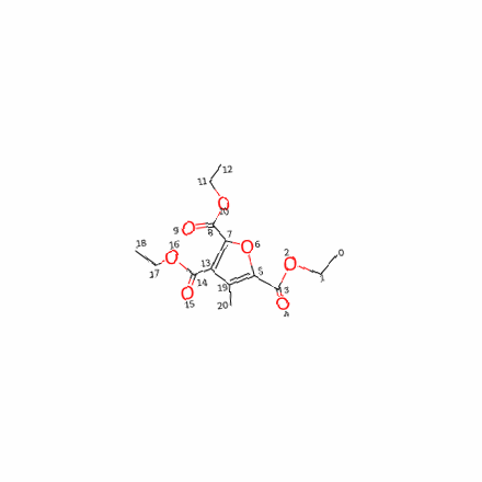 CCOC(=O)c1oc(C(=O)OCC)c(C(=O)OCC)c1C